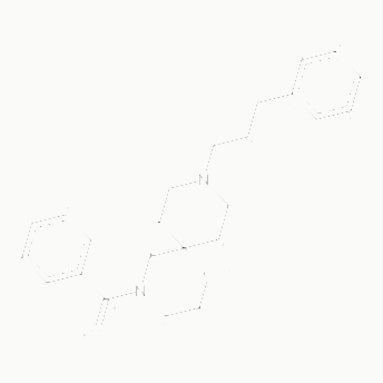 CC1CN(C(=O)c2ccccc2)CC2(CCN(CCCc3ccccc3)CC2)O1